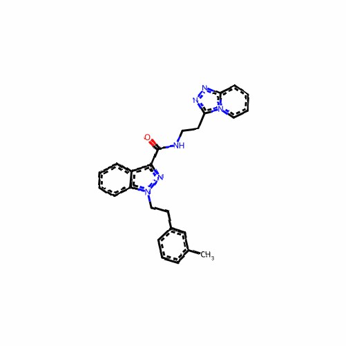 Cc1cccc(CCn2nc(C(=O)NCCc3nnc4ccccn34)c3ccccc32)c1